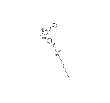 CCCCCCCCCCCCNC(=O)CCCOc1ccc(NC(NC(=O)CCC2CCCC2)C(=O)NCC)cc1